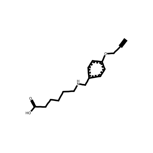 C#CCOc1ccc(CNCCCCCC(=O)O)cc1